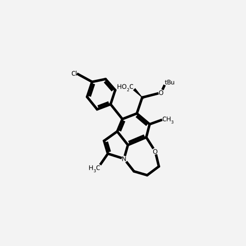 Cc1c([C@H](OC(C)(C)C)C(=O)O)c(-c2ccc(Cl)cc2)c2cc(C)n3c2c1OCCC3